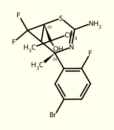 CC(C)(O)[C@@]12SC(N)=N[C@](C)(c3cc(Br)ccc3F)C1C2(F)F